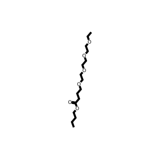 CCCCOC(=O)CCCOCCOCCOCCOCC